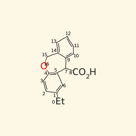 CCc1ccc2c(c1)C(C(=O)O)c1ccccc1CO2